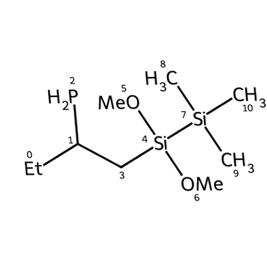 CCC(P)C[Si](OC)(OC)[Si](C)(C)C